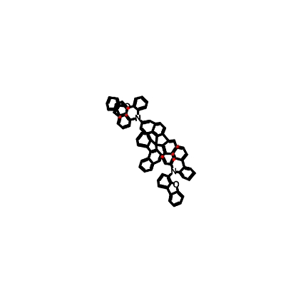 c1ccc(-c2ccccc2N(c2ccc3c4c(ccc3c2)-c2ccc3cc(N(c5ccccc5-c5ccccc5)c5cccc6c5oc5ccccc56)ccc3c2C42c3ccccc3-c3c2ccc2ccccc32)c2cccc3c2oc2ccccc23)cc1